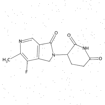 Cc1ncc2c(c1F)CN(C1CCC(=O)NC1=O)C2=O